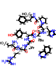 CC[C@H](C)[C@H](NC(=O)[C@H](Cc1ccc(O)cc1)NC(=O)[C@@H](NC(=O)[C@H](CCCNC(=N)N)NC(=O)[C@@H](N)CC(=O)O)C(C)C)C(=O)N[C@@H](Cc1cnc[nH]1)C(=O)N1CCC[C@H]1C(=O)N[C@@H](Cc1ccccc1)C(=O)O.c1ccc2ncncc2c1